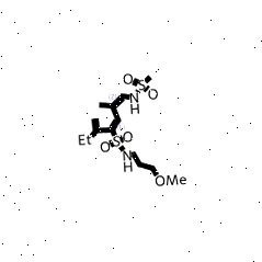 C=C(CC)/C(=C\C(C)=C/NS(C)(=O)=O)S(=O)(=O)NCCCOC